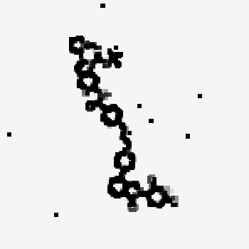 CN1CCC[C@@H]1c1cc2cnc(NC(=O)c3ccc(CCCN4CCN(c5cccc6c5CN(C5CCC(=O)NC5=O)C6=O)CC4)cc3)cc2n1C(=O)OC(C)(C)C